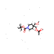 COCC1(COC(C)=O)CCN(C(=O)OC(C)(C)C)CC1